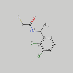 CC(NC(=O)CS)c1cccc(Cl)c1Cl